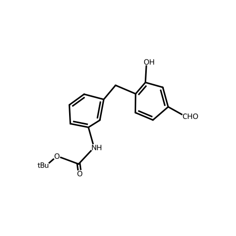 CC(C)(C)OC(=O)Nc1cccc(Cc2ccc(C=O)cc2O)c1